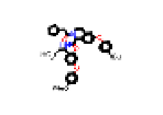 COc1ccc(Oc2ccc(C(CC(=O)O)NC(=O)C3c4ccc(Oc5ccc(C(C)(C)C)cc5)cc4CCN3C(=O)CC3CCCC3)cc2)cc1